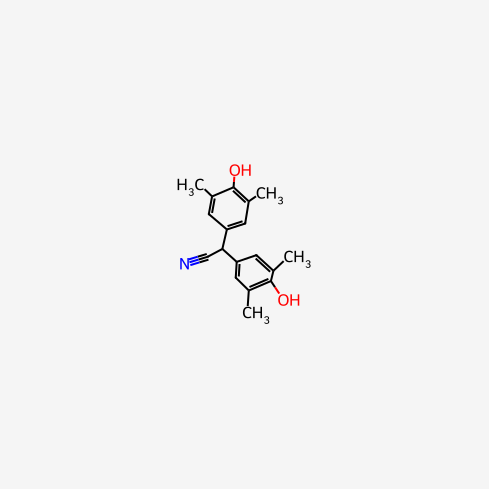 Cc1cc(C(C#N)c2cc(C)c(O)c(C)c2)cc(C)c1O